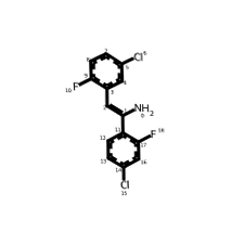 N/C(=C\c1cc(Cl)ccc1F)c1ccc(Cl)cc1F